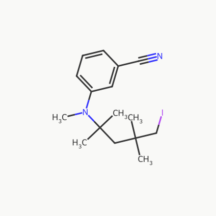 CN(c1cccc(C#N)c1)C(C)(C)CC(C)(C)CI